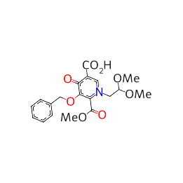 COC(=O)c1c(OCc2ccccc2)c(=O)c(C(=O)O)cn1CC(OC)OC